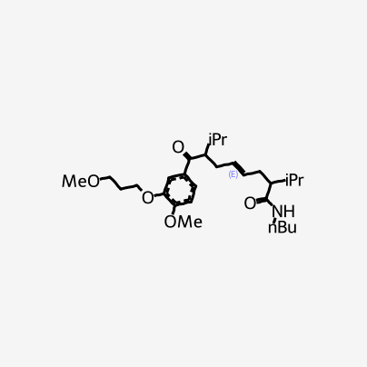 CCCCNC(=O)C(C/C=C/CC(C(=O)c1ccc(OC)c(OCCCOC)c1)C(C)C)C(C)C